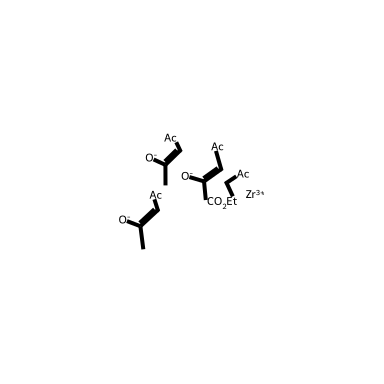 CC(=O)/C=C(/C)[O-].CC(=O)/C=C(/C)[O-].CC(=O)/C=C(/C)[O-].CCOC(=O)CC(C)=O.[Zr+3]